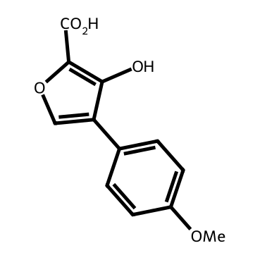 COc1ccc(-c2coc(C(=O)O)c2O)cc1